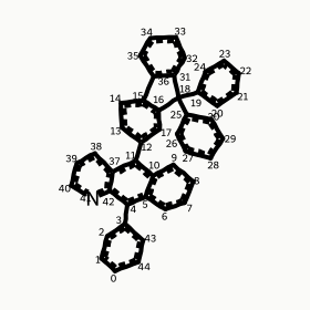 c1ccc(-c2c3ccccc3c(-c3ccc4c(c3)C(c3ccccc3)(c3ccccc3)c3ccccc3-4)c3cccnc23)cc1